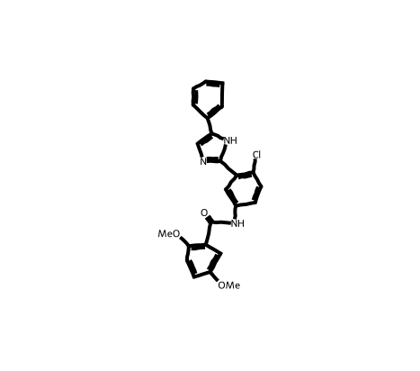 COc1ccc(OC)c(C(=O)Nc2ccc(Cl)c(-c3ncc(-c4ccccc4)[nH]3)c2)c1